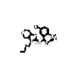 CCCCn1c2c(s/c1=N\C(=N\C#N)c1cc(Cl)ccc1OC)CCOC2